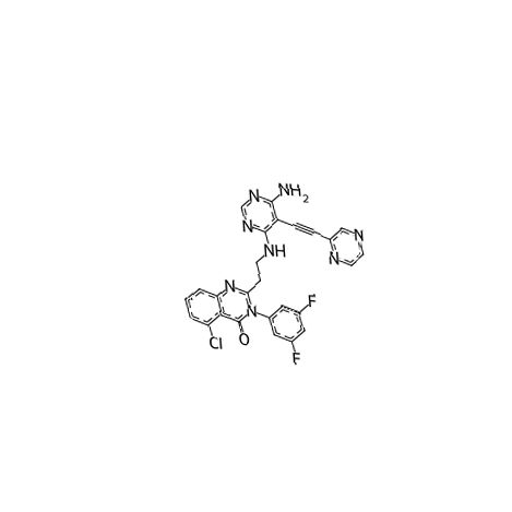 Nc1ncnc(NCCc2nc3cccc(Cl)c3c(=O)n2-c2cc(F)cc(F)c2)c1C#Cc1cnccn1